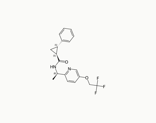 C[C@@H](NC(=O)[C@H]1C[C@@H]1c1ccccc1)c1ccc(OCC(F)(F)F)cn1